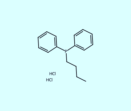 CCCCP(c1ccccc1)c1ccccc1.Cl.Cl